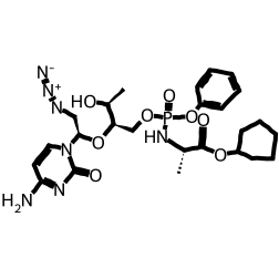 C[C@H](NP(=O)(OC[C@@H](O[C@H](CN=[N+]=[N-])n1ccc(N)nc1=O)[C@H](C)O)Oc1ccccc1)C(=O)OC1CCCCC1